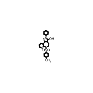 Cc1ccc(S(=O)(=O)N2CCc3c(nn(-c4ccccc4)c3O)-c3cccnc32)cc1